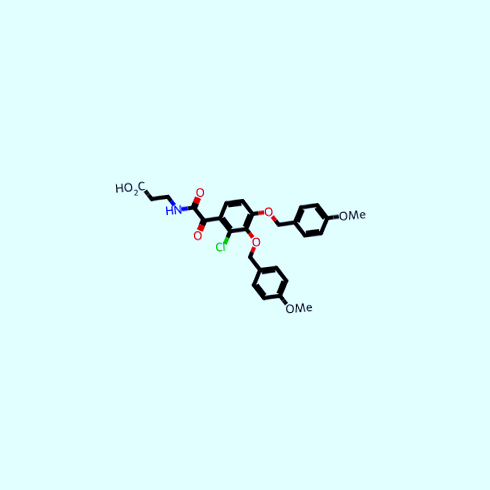 COc1ccc(COc2ccc(C(=O)C(=O)NCCC(=O)O)c(Cl)c2OCc2ccc(OC)cc2)cc1